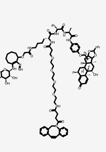 CCCC1O[C@@H]2C[C@H]3[C@@H]4C[C@H](F)C5=CC(=O)C=C[C@]5(C)[C@@]4(F)[C@@H](O)C[C@]3(C)[C@]2(C(=O)COc2ccc(NC(=O)[C@H](C)NC(=O)[C@@H](NC(=O)[C@@H](CCCCNC(=O)COC3CCCCC/C(N[C@@H]4O[C@H](CO)[C@H](O)[C@H](O)[C@H]4O)=C\3N=N)NC(=O)CCOCCOCCOCCOCCNC(=O)CCC(=O)N3Cc4ccccc4C#Cc4ccccc43)C(C)C)cc2)O1